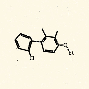 CCOc1ccc(-c2ccc[c]c2Cl)c(C)c1C